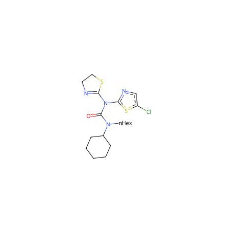 CCCCCCN(C(=O)N(C1=NCCS1)c1ncc(Cl)s1)C1CCCCC1